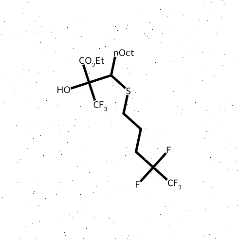 CCCCCCCCC(SCCCC(F)(F)C(F)(F)F)C(O)(C(=O)OCC)C(F)(F)F